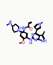 C=CC(=O)Nc1cc(Nc2nc(-c3ccn(C)c3)c3c(C)c[nH]c3n2)c(OC)cc1N1CCC(N(C)C)CC1